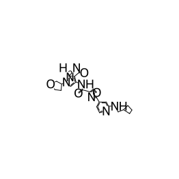 NC(=O)c1nn(C2CCOC2)cc1NC(=O)c1coc(-c2ccnc(NCC3CCC3)c2)n1